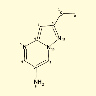 CSc1cc2ncc(N)cn2n1